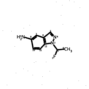 CC(F)n1ncc2cc(N)ccc21